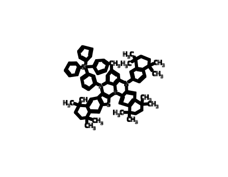 Cc1cc2c3c(c1)N(c1cccc([Si](c4ccccc4)(c4ccccc4)c4ccccc4)c1)c1c(sc4cc5c(cc14)C(C)(C)CCC5(C)C)B3c1cc3c(cc1N2c1ccc2c(c1)C(C)(C)CCC2(C)C)C(C)(C)CCC3(C)C